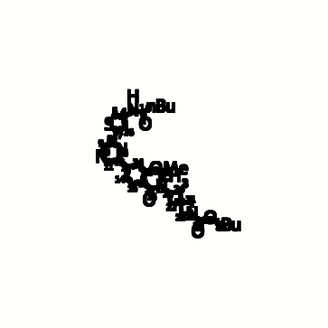 CCCCC(=O)Nc1csc(-c2cncc(-c3ccc(C(=O)N(C)C4CC5(C4)CN(C(=O)OC(C)(C)C)C5)c(OC)c3)n2)c1